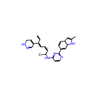 C=C/C(=C\C=C/C(CC)Nc1ccnc(C2=CC3NC(C)=CC3C=C2)n1)C1=CCNN=C1